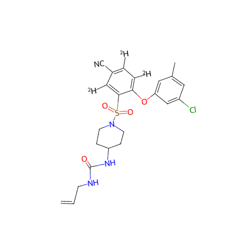 [2H]c1c([2H])c(Oc2cc(C)cc(Cl)c2)c(S(=O)(=O)N2CCC(NC(=O)NCC=C)CC2)c([2H])c1C#N